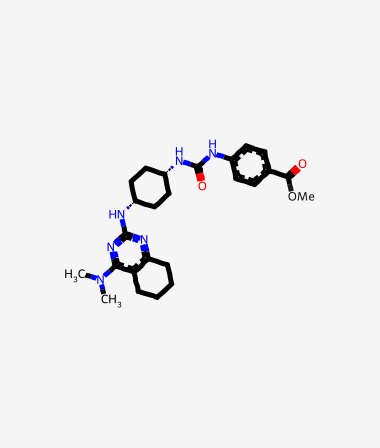 COC(=O)c1ccc(NC(=O)N[C@H]2CC[C@@H](Nc3nc4c(c(N(C)C)n3)CCCC4)CC2)cc1